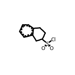 O=S(=O)(Cl)C1CCc2ccccc2C1